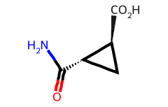 NC(=O)[C@H]1C[C@@H]1C(=O)O